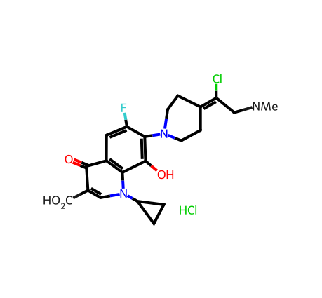 CNCC(Cl)=C1CCN(c2c(F)cc3c(=O)c(C(=O)O)cn(C4CC4)c3c2O)CC1.Cl